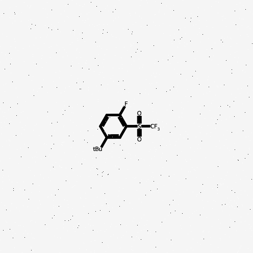 CC(C)(C)c1ccc(F)c(S(=O)(=O)C(F)(F)F)c1